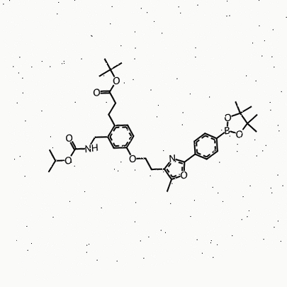 Cc1oc(-c2ccc(B3OC(C)(C)C(C)(C)O3)cc2)nc1CCOc1ccc(CCC(=O)OC(C)(C)C)c(CNC(=O)OC(C)C)c1